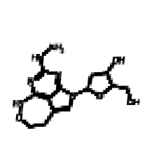 NNc1nc2c3c(cn(C4CC(O)C(CO)O4)c3n1)CCON2